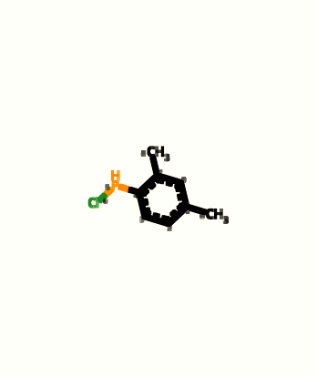 Cc1ccc(PCl)c(C)c1